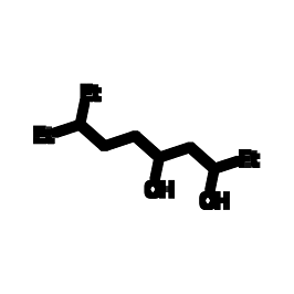 CCC(O)CC(O)CCC(CC)CC